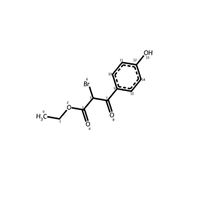 CCOC(=O)C(Br)C(=O)c1ccc(O)cc1